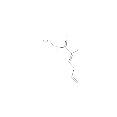 C=CC/C=C(\C)C(=O)OO